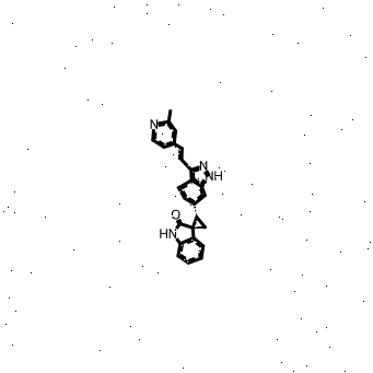 Cc1cc(C=Cc2n[nH]c3cc([C@@H]4C[C@@]45C(=O)Nc4ccccc45)ccc23)ccn1